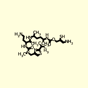 CC(CCC(C)NC(=O)C(CCN)NC(=O)N(C)Cc1csc(C(C)C)n1)NC(=O)OC/C(S)=C/N